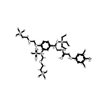 CC[Si](CC)(CC)O[C@@H](CNC(=O)COc1cc(C)c(Br)c(C)c1)c1ccc(OCOCC[Si](C)(C)C)c(N(COCC[Si](C)(C)C)S(C)(=O)=O)c1